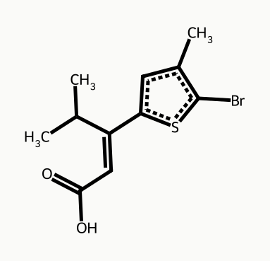 Cc1cc(/C(=C/C(=O)O)C(C)C)sc1Br